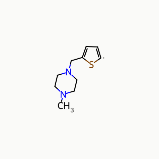 CN1CCN(Cc2cc[c]s2)CC1